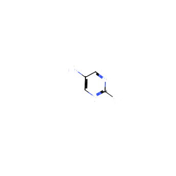 Nc1cnc(C(F)(F)F)nc1